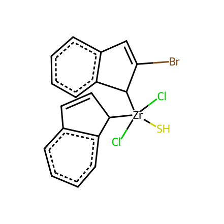 [SH][Zr]([Cl])([Cl])([CH]1C=Cc2ccccc21)[CH]1C(Br)=Cc2ccccc21